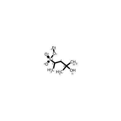 CCOS(=O)(=O)C(C)CC(C)(C)O